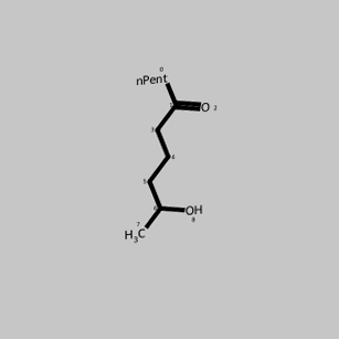 CCCCCC(=O)CCCC(C)O